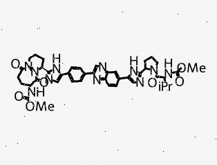 COC(=O)NC(C(=O)N1CCCC1c1ncc(-c2ccc3nc(-c4ccc(-c5cnc([C@@H]6CCCN7C(=O)CC[C@H](NC(=O)OC)C(=O)N67)[nH]5)cc4)cnc3c2)[nH]1)C(C)C